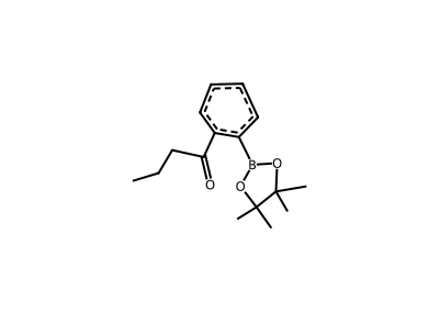 CCCC(=O)c1ccccc1B1OC(C)(C)C(C)(C)O1